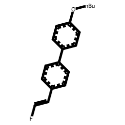 CCCCOc1ccc(-c2ccc(C=CF)cc2)cc1